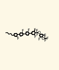 CCCCCc1ccc(-c2ccc(-c3ccc(-c4cc(F)c(C(F)(F)Oc5cc(F)c(OC(F)(F)F)c(F)c5)c(F)c4)c(F)c3)c(F)c2)c(F)c1